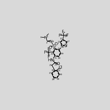 CN(C)/C=N/S(=O)(=O)c1c(-n2cc(C(F)(F)F)cn2)ccc(NC(=O)Cc2ccccc2Cl)c1C(F)(F)F